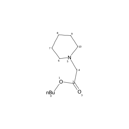 CCCCOC(=O)[CH]N1CCCCC1